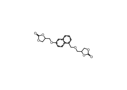 O=C1OCC(COCc2cccc3cc(OCC4COC(=O)O4)ccc23)O1